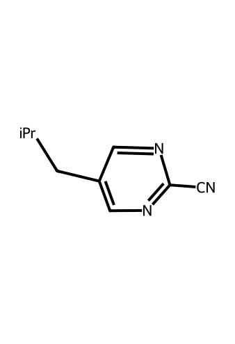 CC(C)Cc1cnc(C#N)nc1